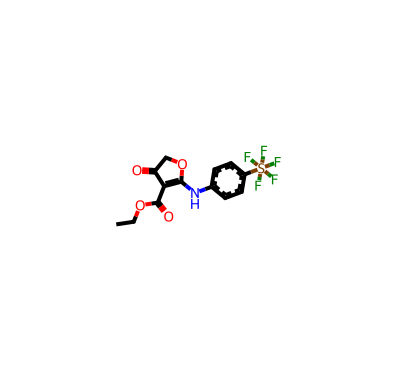 CCOC(=O)C1=C(Nc2ccc(S(F)(F)(F)(F)F)cc2)OCC1=O